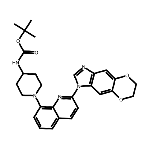 CC(C)(C)OC(=O)NC1CCN(c2cccc3ccc(-n4cnc5cc6c(cc54)OCCO6)nc23)CC1